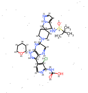 CC(C)(C)[S@@+]([O-])N[C@@H]1c2ccnn2CC12CCN(c1cnc3c(-c4ccnc(NC(=O)O)c4Cl)nn([C@H]4CCCCO4)c3n1)CC2